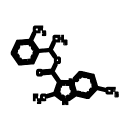 CC(OC(=O)c1c(C(F)(F)F)nc2cc(C(F)(F)F)ccn12)c1ccccc1C(F)(F)F